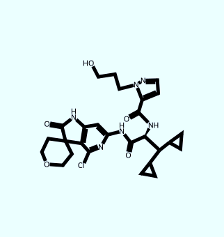 O=C(N[C@H](C(=O)Nc1cc2c(c(Cl)n1)C1(CCOCC1)C(=O)N2)C(C1CC1)C1CC1)c1ccnn1CCCO